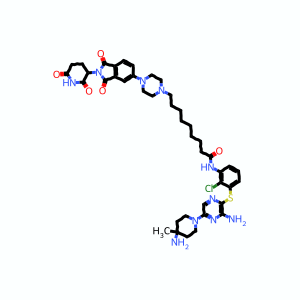 CC1(N)CCN(c2cnc(Sc3cccc(NC(=O)CCCCCCCCN4CCN(c5ccc6c(c5)C(=O)N(C5CCC(=O)NC5=O)C6=O)CC4)c3Cl)c(N)n2)CC1